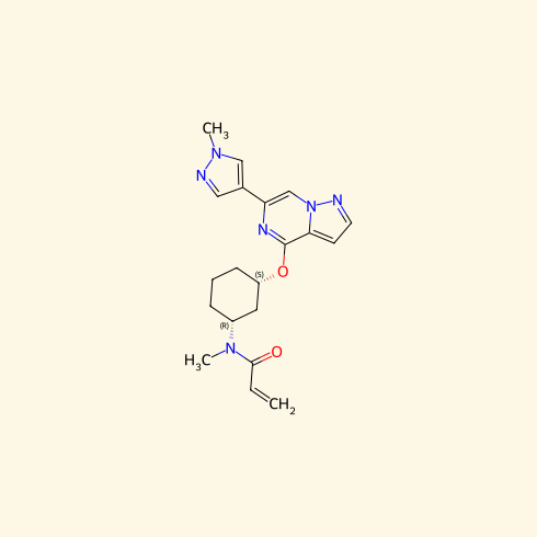 C=CC(=O)N(C)[C@@H]1CCC[C@H](Oc2nc(-c3cnn(C)c3)cn3nccc23)C1